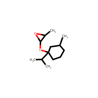 CC1CCCC(OC2OC2C)(C(C)C)C1